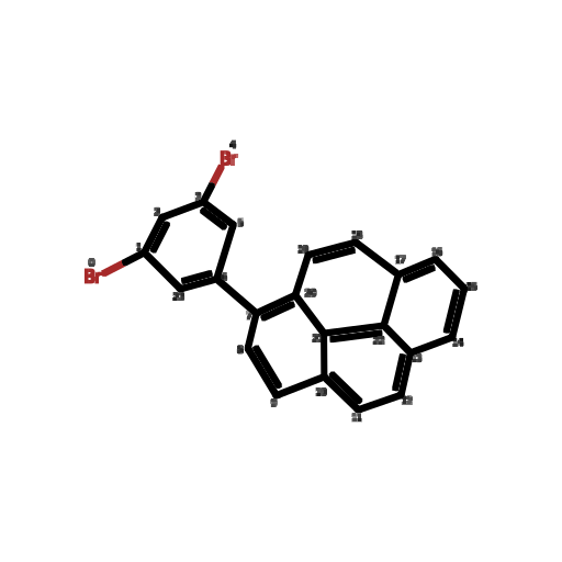 Brc1cc(Br)cc(-c2ccc3ccc4cccc5ccc2c3c45)c1